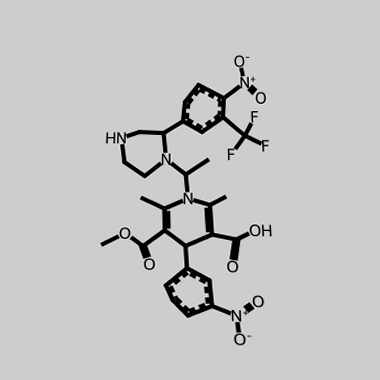 COC(=O)C1=C(C)N(C(C)N2CCNCC2c2ccc([N+](=O)[O-])c(C(F)(F)F)c2)C(C)=C(C(=O)O)C1c1cccc([N+](=O)[O-])c1